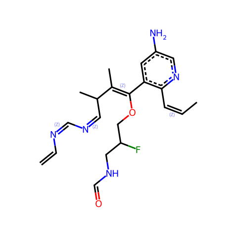 C=C/N=C\N=C/C(C)/C(C)=C(\OCC(F)CNC=O)c1cc(N)cnc1/C=C\C